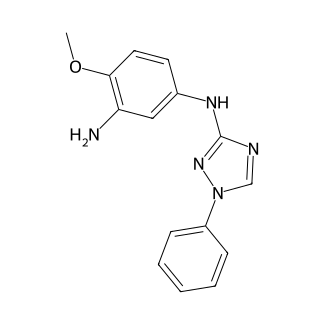 COc1ccc(Nc2ncn(-c3ccccc3)n2)cc1N